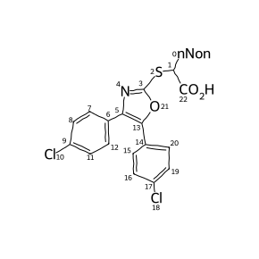 CCCCCCCCCC(Sc1nc(-c2ccc(Cl)cc2)c(-c2ccc(Cl)cc2)o1)C(=O)O